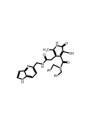 Cc1[nH]c(=O)c(O)c(C(=O)N(CC(C)C)CC(C)C)c1CC(=O)NCc1ccc2[nH]ccc2n1